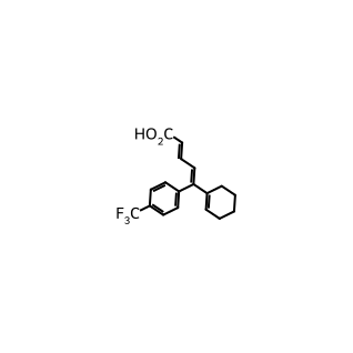 O=C(O)C=CC=C(C1=CCCCC1)c1ccc(C(F)(F)F)cc1